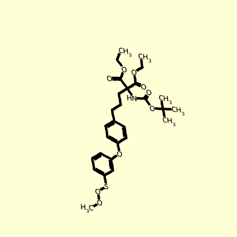 CCOC(=O)C(CCCc1ccc(Oc2cccc(SOOC)c2)cc1)(NC(=O)OC(C)(C)C)C(=O)OCC